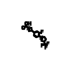 O=C(O)N1CC(c2ccc(N3CCC(C(F)(F)F)C3)c(F)c2)C1